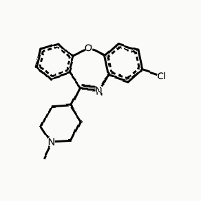 CN1CCC(C2=Nc3cc(Cl)ccc3Oc3ccccc32)CC1